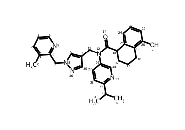 Cc1cccnc1Cn1cc(CN(C(=O)C2CCCc3c(O)cccc32)c2ccc(C(C)C)nc2)cn1